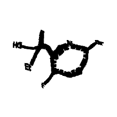 CCC(C)(O)c1nc(Br)ccc1F